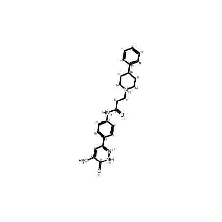 Cc1cc(-c2ccc(NC(=O)CCN3CCC(c4ccccc4)CC3)cc2)n[nH]c1=O